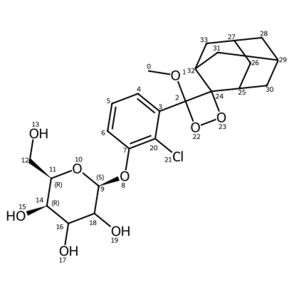 COC1(c2cccc(O[C@@H]3O[C@H](CO)[C@H](O)C(O)C3O)c2Cl)OOC12C1CC3CC(C1)CC2C3